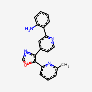 Cc1cccc(-c2ocnc2-c2ccnc(-c3ccccc3N)c2)n1